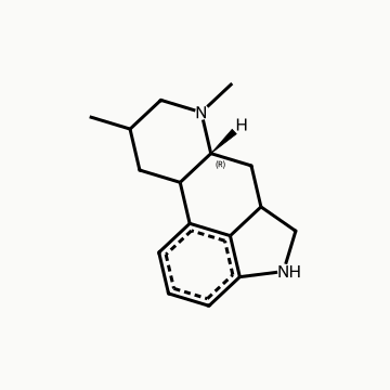 CC1CC2c3cccc4c3C(CN4)C[C@H]2N(C)C1